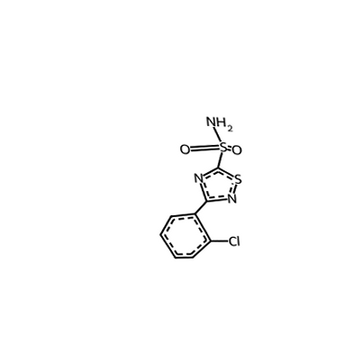 NS(=O)(=O)c1nc(-c2ccccc2Cl)ns1